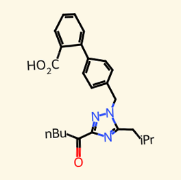 CCCCC(=O)c1nc(CC(C)C)n(Cc2ccc(-c3ccccc3C(=O)O)cc2)n1